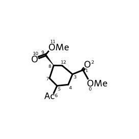 COC(=O)C1CC(C(C)=O)C[C@@H](C(=O)OC)C1